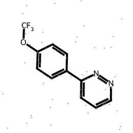 FC(F)(F)Oc1ccc(-c2cccnn2)cc1